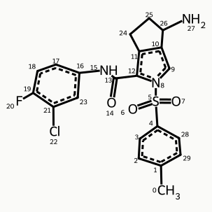 Cc1ccc(S(=O)(=O)n2cc3c(c2C(=O)Nc2ccc(F)c(Cl)c2)CCC3N)cc1